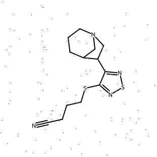 N#CCCCSc1nsnc1C1CN2CCCC1C2